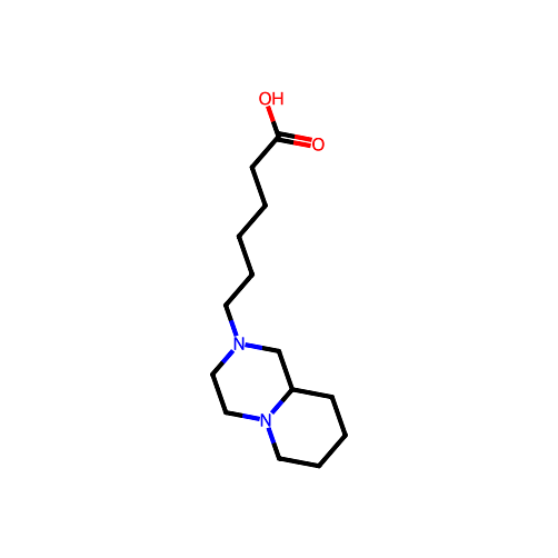 O=C(O)CCCCCN1CCN2CCCCC2C1